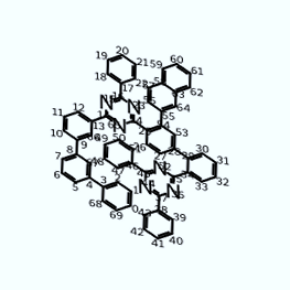 c1ccc(-c2cccc(-c3cccc(-c4nc(-c5ccccc5)nc(-c5ccc(-c6ccccc6-c6nc(-c7ccccc7)nc(-c7ccccc7)n6)cc5-c5ccc6ccccc6c5)n4)c3)c2)cc1